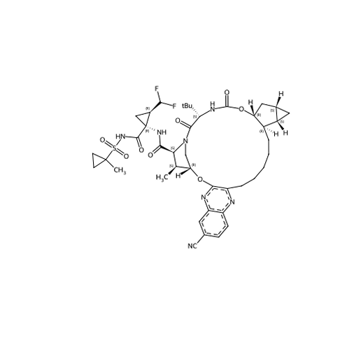 C[C@@H]1[C@@H]2CN(C(=O)[C@H](C(C)(C)C)NC(=O)O[C@@H]3C[C@@H]4C[C@@H]4[C@H]3CCCCCc3nc4ccc(C#N)cc4nc3O2)[C@@H]1C(=O)N[C@]1(C(=O)NS(=O)(=O)C2(C)CC2)C[C@H]1C(F)F